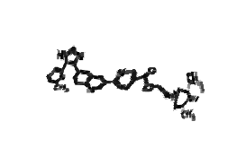 Cc1cccc(-c2[nH]cnc2-c2ccc3ncc(-c4ccc(C(=O)OCCN5C[C@@H](C)N[C@@H](C)C5)cn4)cc3c2)n1